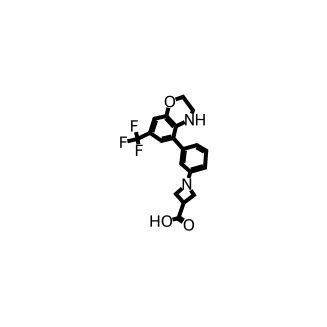 O=C(O)C1CN(c2cccc(-c3cc(C(F)(F)F)cc4c3NCCO4)c2)C1